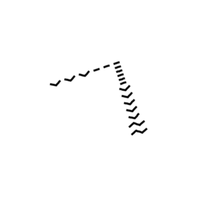 CC.CC.CC.CC.CC.CC.CC.CC.CCC.CCC.CCC.CCC.CCC.CCC.CCC.CCC.CCCC.CCCC